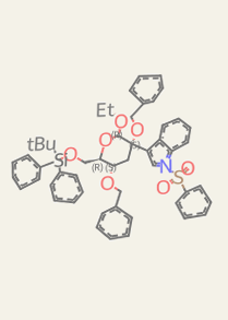 CCO[C@@H]1O[C@H](CO[Si](c2ccccc2)(c2ccccc2)C(C)(C)C)[C@@H](OCc2ccccc2)C[C@]1(OCc1ccccc1)c1cn(S(=O)(=O)c2ccccc2)c2ccccc12